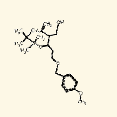 C=CC(CO)C(CCOCc1ccc(OC)cc1)O[Si](C)(C)C(C)(C)C